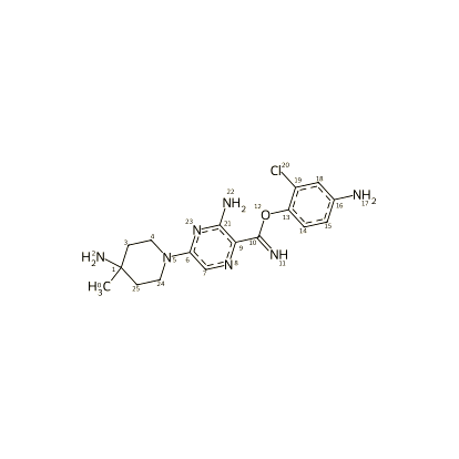 CC1(N)CCN(c2cnc(C(=N)Oc3ccc(N)cc3Cl)c(N)n2)CC1